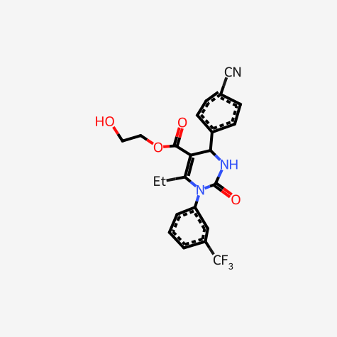 CCC1=C(C(=O)OCCO)C(c2ccc(C#N)cc2)NC(=O)N1c1cccc(C(F)(F)F)c1